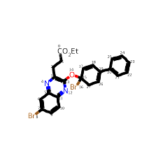 CCOC(=O)CCc1nc2cc(Br)ccc2nc1OC1(Br)C=CC(c2ccccc2)=CC1